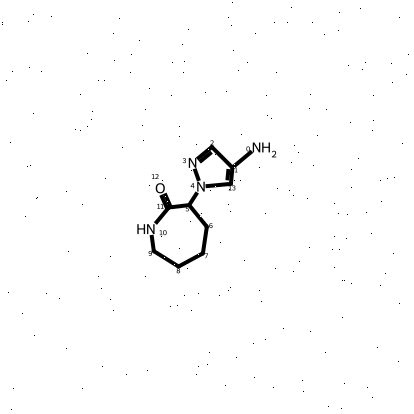 Nc1cnn(C2CCCCNC2=O)c1